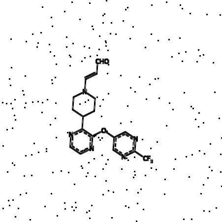 O=CC=CN1CCC(c2nccnc2Oc2cnc(C(F)(F)F)nc2)CC1